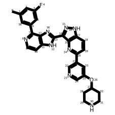 Cc1cc(F)cc(-c2nccc3[nH]c(-c4n[nH]c5ccc(-c6cncc(OC7CCNCC7)c6)nc45)nc23)c1